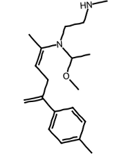 C=C(C/C=C(/C)N(CCNC)C(C)OC)c1ccc(C)cc1